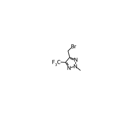 Cn1nc(CBr)c(C(F)(F)F)n1